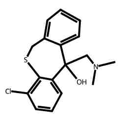 CN(C)CC1(O)c2ccccc2CSc2c(Cl)cccc21